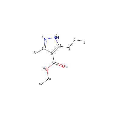 CCCc1[nH]nc(C)c1C(=O)OCC